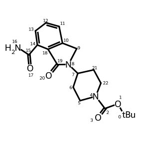 CC(C)(C)OC(=O)N1CCC(N2Cc3cccc(C(N)=O)c3C2=O)CC1